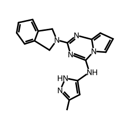 Cc1cc(Nc2nc(N3Cc4ccccc4C3)nc3cccn23)[nH]n1